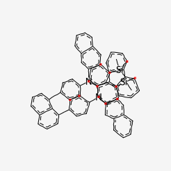 C[Si]1(C)c2ccccc2-c2c(N(c3ccc(-c4cccc5cccc(-c6ccc(N(c7ccc8ccccc8c7)c7cccc8c7-c7ccccc7[Si]8(C)C)cc6)c45)cc3)c3ccc4ccccc4c3)cccc21